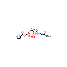 COC(=O)CCNC(=O)[C@@H]1O[P](O)(OCOC(=O)c2ccno2)OCC1(C)C